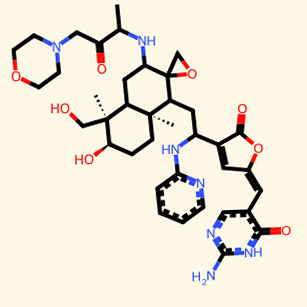 CC(NC1CC2[C@](C)(CC[C@@H](O)[C@@]2(C)CO)C(CC(Nc2ccccn2)C2=C/C(=C\c3cnc(N)[nH]c3=O)OC2=O)C12CO2)C(=O)CN1CCOCC1